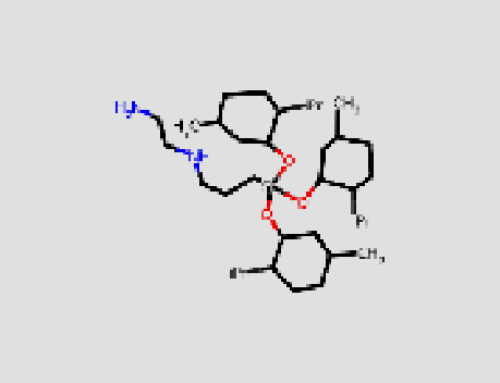 CC1CCC(C(C)C)C(O[Si](CCCNCCN)(OC2CC(C)CCC2C(C)C)OC2CC(C)CCC2C(C)C)C1